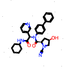 N#CN1C[C@H](O)C[C@@H]1C(=O)N(c1ccc(-c2ccccc2)cc1)[C@@H](C(=O)NC1CCCCC1)c1cccnc1